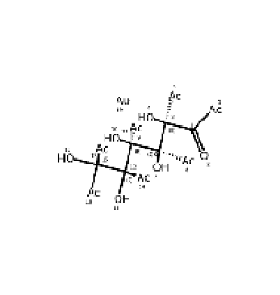 CC(=O)C(=O)[C@@](O)(C(C)=O)[C@](O)(C(C)=O)[C@@](O)(C(C)=O)[C@@](O)(C(C)=O)C(O)(C(C)=O)C(C)=O.[Au]